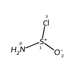 N[S+]([O-])Cl